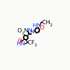 C=CC(=O)Nc1cccc(-n2cc(-c3ccc4c(c3)C(C(F)(F)F)CNC4=O)c([N+](=O)[O-])n2)c1